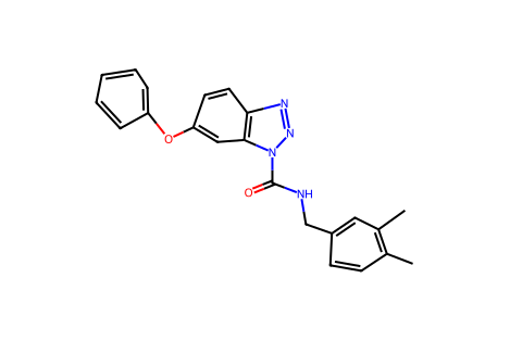 Cc1ccc(CNC(=O)n2nnc3ccc(Oc4ccccc4)cc32)cc1C